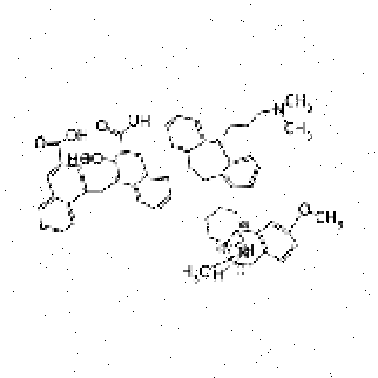 CN(C)CCCN1c2ccccc2CCc2ccccc21.COc1ccc2c(c1)[C@]13CCCC[C@@H]1[C@H](C2)N(C)CC3.O=C(O)c1cc2ccccc2c(Cc2c(O)c(C(=O)O)cc3ccccc23)c1O